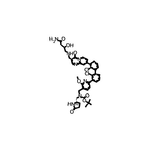 COc1nc(-c2cccc(-c3cccc(-c4ccn5c(=O)c(CNCC(O)CC(N)=O)cnc5c4)c3Cl)c2Cl)ccc1CN(C[C@@H]1CCC(=O)N1)C(=O)OC(C)(C)C